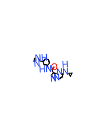 O=C(Nc1cccc(-c2ncc[nH]2)c1)c1cnn2ccc(NC3CC3)nc12